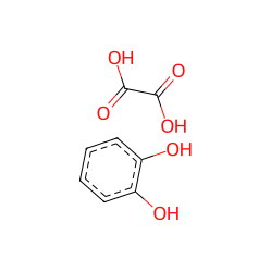 O=C(O)C(=O)O.Oc1ccccc1O